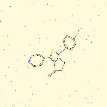 O=C1CCc2c(-c3ccc(F)cc3)sc(-c3ccncc3)c21